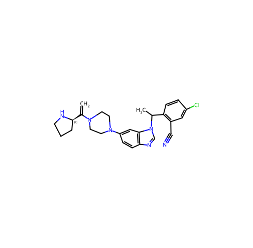 C=C([C@H]1CCCN1)N1CCN(c2ccc3ncn(C(C)c4ccc(Cl)cc4C#N)c3c2)CC1